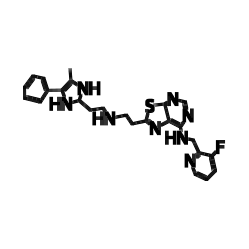 CC1=C(c2ccccc2)NC(CCNCCc2nc3c(NCc4ncccc4F)ncnc3s2)N1